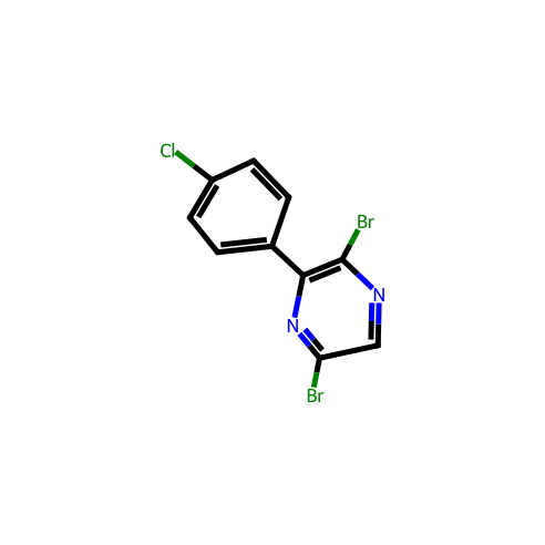 Clc1ccc(-c2nc(Br)cnc2Br)cc1